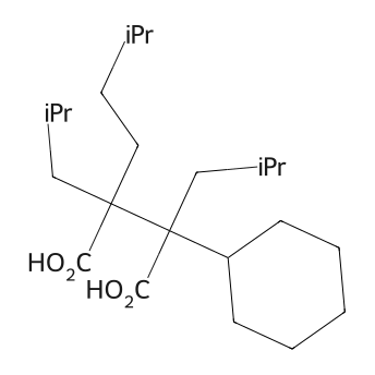 CC(C)CCC(CC(C)C)(C(=O)O)C(CC(C)C)(C(=O)O)C1CCCCC1